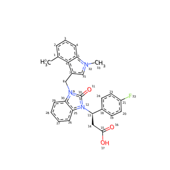 Cc1cccc2c1c(Cn1c(=O)n([C@H](CC(=O)O)c3ccc(F)cc3)c3ccccc31)cn2C